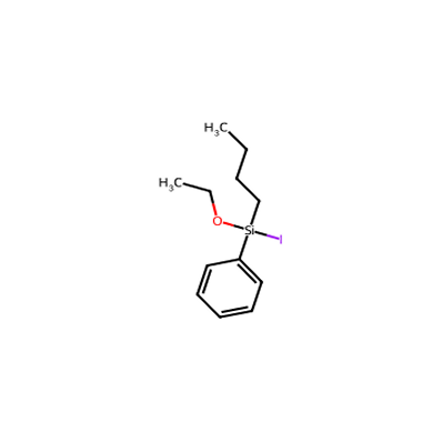 CCCC[Si](I)(OCC)c1ccccc1